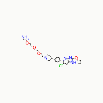 NCCOCCOCCOCCN1CCC(c2ccc(-c3nc4nc(OC5CCC5)[nH]c4cc3Cl)cc2)CC1